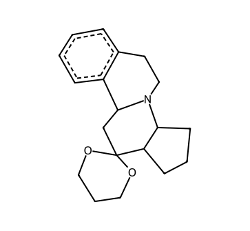 c1ccc2c(c1)CCN1C2CC2(OCCCO2)C2CCCC21